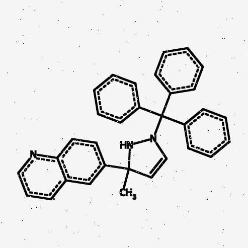 CC1(c2ccc3ncc[c]c3c2)C=CN(C(c2ccccc2)(c2ccccc2)c2ccccc2)N1